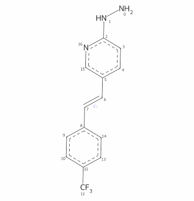 NNc1ccc(/C=C/c2ccc(C(F)(F)F)cc2)cn1